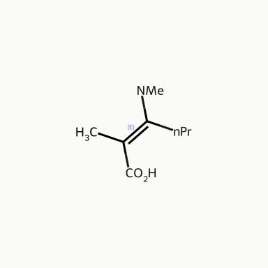 CCC/C(NC)=C(/C)C(=O)O